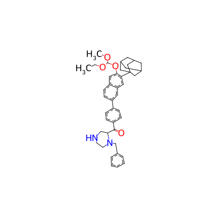 CCOC(OC)Oc1cc2ccc(-c3ccc(C(=O)C4CNCCN4Cc4ccccc4)cc3)cc2cc1C12CC3CC(CC(C3)C1)C2